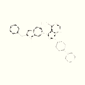 Nc1ncnc2c1c(-c1ccc3cc(Cc4ccccc4)[nH]c3c1)nn2[C@H]1CC[C@H](N2CCOCC2)CC1